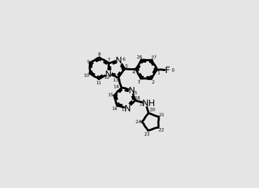 Fc1ccc(-c2nc3ccccn3c2-c2ccnc(NC3CCCC3)n2)cc1